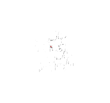 CCCn1c(=O)c2[nH]c(C34CCCC(C=O)(CCC3)C4)nc2n(CCC)c1=O.CCCn1c(=O)c2[nH]c(C34CCCC(CCC3/C=C/C(=O)O)C4)nc2n(CCC)c1=O